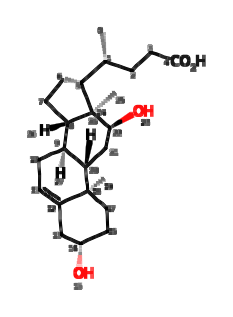 C[C@H](CCC(=O)O)[C@H]1CC[C@H]2[C@@H]3CC=C4C[C@@H](O)CC[C@]4(C)[C@H]3C[C@H](O)[C@]12C